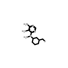 Nc1ncnc(N(N)C2CCCC(CF)C2)c1N